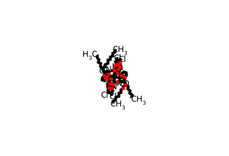 CCCCCCCC/C=C/C(CCCCCCC)Oc1ccc(-c2c3/c(=C(\C#N)c4cnc5cc(Cl)c(Cl)cc5n4)n(B(c4ccccc4)c4ccccc4)c(-c4ccc(OC(/C=C/CCCCCCCC)CCCCCCC)cc4)c3/c(=C(\C#N)c3cnc4cc(Cl)c(Cl)cc4n3)n2B(c2ccccc2)c2ccccc2)cc1